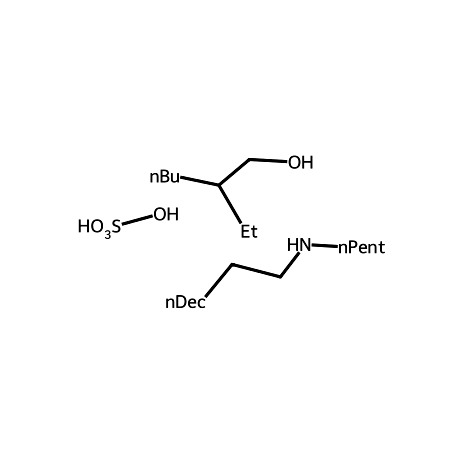 CCCCC(CC)CO.CCCCCCCCCCCCNCCCCC.O=S(=O)(O)O